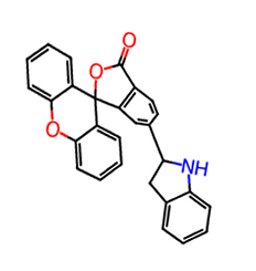 O=C1OC2(c3ccccc3Oc3ccccc32)c2cc(C3Cc4ccccc4N3)ccc21